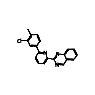 Cc1ccc(-c2cccc(-c3ncc4ccccc4n3)n2)cc1Cl